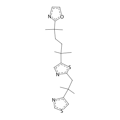 CC(C)(Cc1ncc(C(C)(C)CCC(C)(C)c2ncco2)s1)c1cscn1